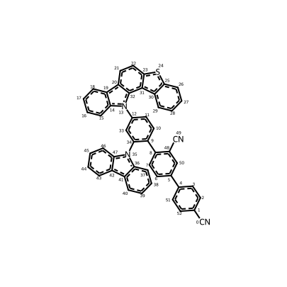 N#Cc1ccc(-c2ccc(-c3ccc(-n4c5ccccc5c5ccc6sc7ccccc7c6c54)cc3-n3c4ccccc4c4ccccc43)c(C#N)c2)cc1